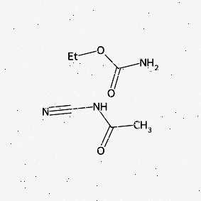 CC(=O)NC#N.CCOC(N)=O